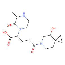 CC1NCCN(C(CCC(=O)N2CCC3(CC3)C(O)C2)C(=O)O)C1=O